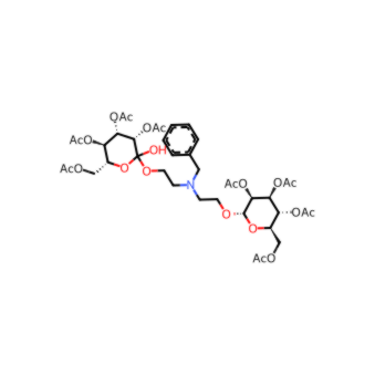 CC(=O)OC[C@H]1O[C@H](OCCN(CCOC2(O)O[C@H](COC(C)=O)[C@@H](OC(C)=O)[C@H](OC(C)=O)[C@@H]2OC(C)=O)Cc2ccccc2)[C@@H](OC(C)=O)[C@@H](OC(C)=O)[C@@H]1OC(C)=O